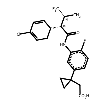 C[C@H]([C@H](C(=O)Nc1cc(C2(CC(=O)O)CC2)ccc1F)C1C=CC(Cl)=CC1)C(F)(F)F